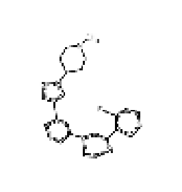 CN1CCC(n2cc(-c3cncc(-c4ccnc(-c5ccccc5F)c4)c3)cn2)CC1